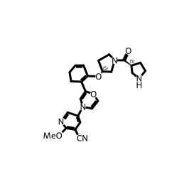 COc1ncc(N2C=COC(C3=C(O[C@H]4CCN(C(=O)[C@H]5CCNC5)C4)C=CCC3)=C2)cc1C#N